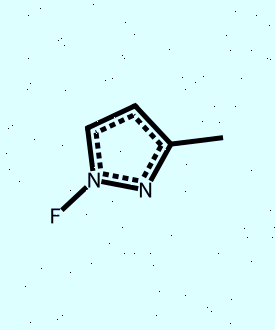 Cc1ccn(F)n1